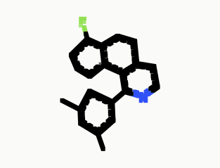 Cc1cc(C)cc(-c2nccc3ccc4c(F)cccc4c23)c1